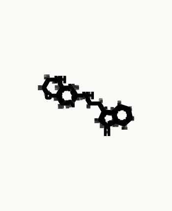 c1ccc2c(CCNc3ncc4c(n3)NCCO4)c[nH]c2c1